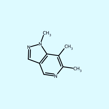 Cc1ncc2cnn(C)c2c1C